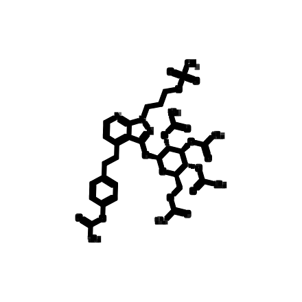 CC(C)(C)C(=O)OC[C@H]1O[C@@H](Oc2nn(CCCOS(C)(=O)=O)c3nccc(CCc4ccc(OC(=O)C(C)(C)C)cc4)c23)[C@H](OC(=O)C(C)(C)C)[C@@H](OC(=O)C(C)(C)C)[C@@H]1OC(=O)C(C)(C)C